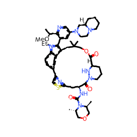 CCn1c(-c2cc(N3CCN4CCCC[C@@H]4C3)cnc2[C@H](C)OC)c2c3cc(ccc31)-c1csc(n1)C[C@H](NC(=O)N1[C@@H](C)COC[C@@H]1C)C(=O)N1CCC[C@H](N1)C(=O)OCC(C)(C)C2